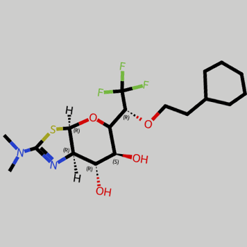 CN(C)C1=N[C@@H]2[C@@H](O)[C@H](O)C([C@@H](OCCC3CCCCC3)C(F)(F)F)O[C@@H]2S1